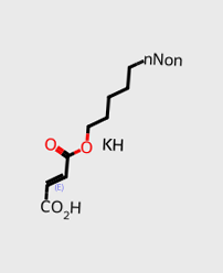 CCCCCCCCCCCCCCOC(=O)/C=C/C(=O)O.[KH]